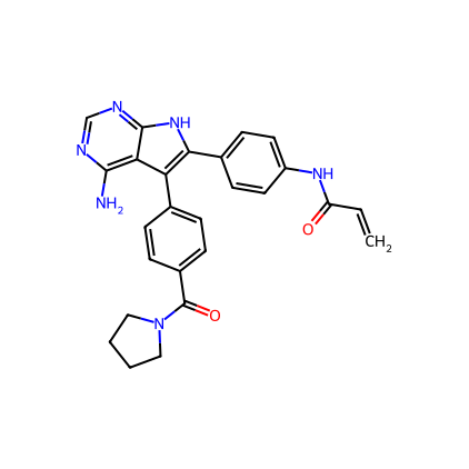 C=CC(=O)Nc1ccc(-c2[nH]c3ncnc(N)c3c2-c2ccc(C(=O)N3CCCC3)cc2)cc1